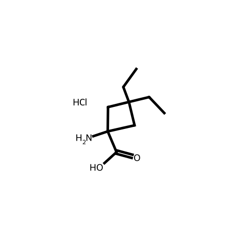 CCC1(CC)CC(N)(C(=O)O)C1.Cl